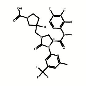 Cc1cc(C(F)(F)F)cc(N2C(=O)N(CC3(O)CCN(C(=O)O)C3)C[C@H]2C(=O)N(C)c2ccc(F)c(Cl)c2F)n1